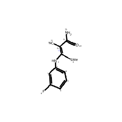 CS/C(Nc1cccc(F)c1)=C(/C#N)C(N)=O